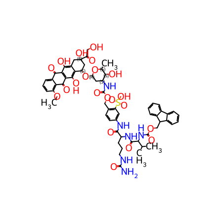 COc1cccc2c1C(=O)c1c(O)c3c(c(O)c1C2=O)C[C@@](O)(C(=O)CO)C[C@@H]3O[C@H]1C[C@H](NC(=O)OCc2ccc(NC(=O)C(CCCNC(N)=O)NC(=O)C(NC(=O)OCC3c4ccccc4-c4ccccc43)C(C)C)cc2S(=O)(=O)O)[C@H](O)[C@H](C)O1